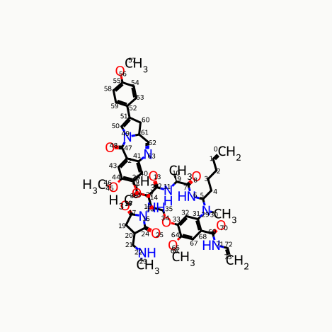 C=CCCCC(NC(=O)[C@H](C)NC(=O)[C@@H](NN1C(=O)CC(CNC)C1=O)C(C)C)N(C)c1cc(OCCCOc2cc3c(cc2OC)C(=O)N2C=C(c4ccc(OC)cc4)CC2C=N3)c(OC)cc1C(=O)NC=C